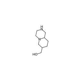 OCC1CCC2CNCCN2C1